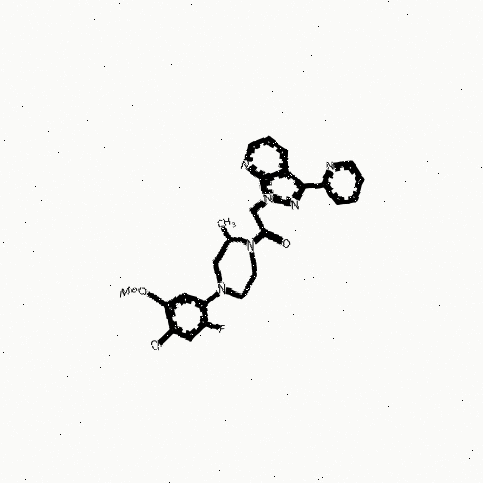 COc1cc(N2CCN(C(=O)Cn3nc(-c4ccccn4)c4cccnc43)C(C)C2)c(F)cc1Cl